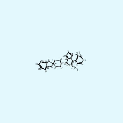 Cc1cnccc1-c1c(C)nc(N2CCC3(CC2)Cc2cccnc2C3)c2ccnn12